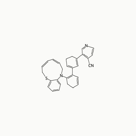 N#Cc1ccncc1C1=CC(C2=C(N3C/C=C\C=C/CSc4ccccc43)CCC=C2)=CCC1